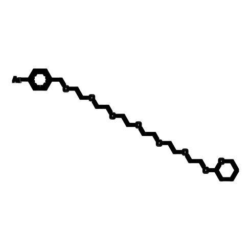 CC(=O)c1ccc(COCCOCCOCCOCCOCCOCCOC2CCCCO2)cc1